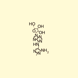 Cc1ncc(CNc2ncnc3c2ncn3[C@@H]2O[C@H](CO)C(O)C2O)c(N)n1